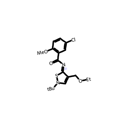 CCOCc1cn(C(C)(C)C)s/c1=N\C(=O)c1cc(Cl)ccc1OC